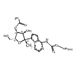 CCCCCOC(=O)Nc1ncnn2c([C@]3(C)O[C@H](CO)[C@@H](OC(=O)C(C)C)[C@H]3O)ccc12